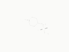 BN1CCC(NS(=O)(=O)CCC)CC1